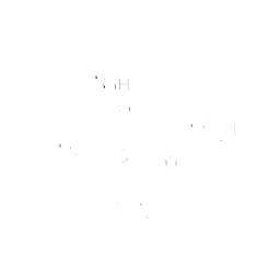 O=C(O)OS(=O)(=O)C(=O)O.[NaH]